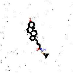 CC12CCC(=O)C=C1C=CC1C2CC[C@]2(C)C(C/C=C/C(=O)NSC3CC3)CCC12